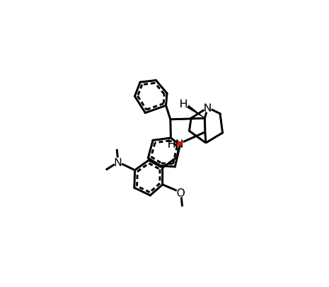 COc1ccc(N(C)C)cc1CNC1C2CCN(CC2)[C@H]1C(c1ccccc1)c1ccccc1